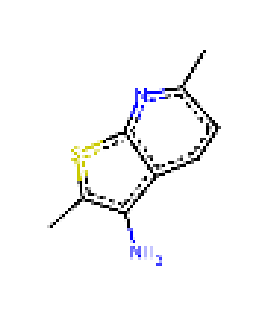 Cc1ccc2c(N)c(C)sc2n1